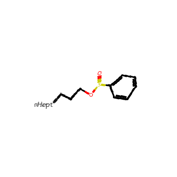 CCCCCCCCCCOS(=O)c1ccccc1